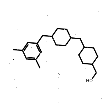 Cc1cc(C)cc(CC2CCC(CC3CCC(CO)CC3)CC2)c1